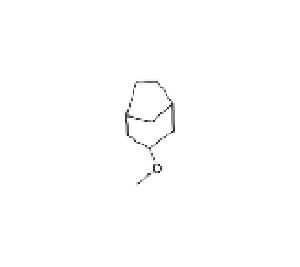 COC1CC2CCC(C2)C1